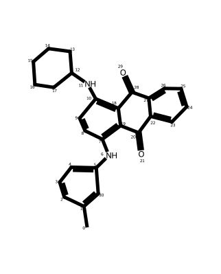 Cc1cccc(Nc2ccc(NC3CCCCC3)c3c2C(=O)c2ccccc2C3=O)c1